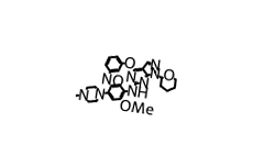 COc1cc(N2CCN(C)CC2)ccc1Nc1nc(Oc2cccc(N=O)c2)c2cnn(C3CCCCO3)c2n1